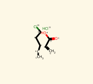 C=CC(=O)O.CCCCCCl.Cl